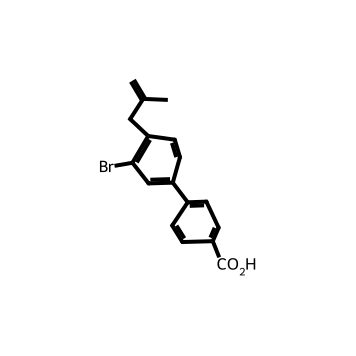 C=C(C)Cc1ccc(-c2ccc(C(=O)O)cc2)cc1Br